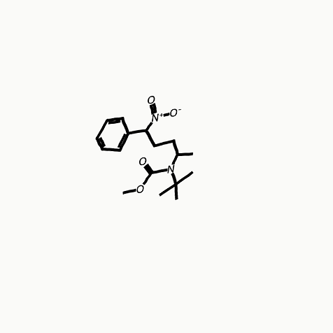 COC(=O)N(C(C)CCC(c1ccccc1)[N+](=O)[O-])C(C)(C)C